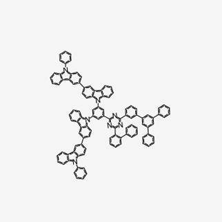 c1ccc(-c2cc(-c3ccccc3)cc(-c3cccc(-c4nc(-c5cc(-n6c7ccccc7c7cc(-c8ccc9c(c8)c8ccccc8n9-c8ccccc8)ccc76)cc(-n6c7ccccc7c7cc(-c8ccc9c(c8)c8ccccc8n9-c8ccccc8)ccc76)c5)nc(-c5ccccc5-c5ccccc5)n4)c3)c2)cc1